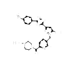 Cc1cc(-c2nc(-c3ccc(OC(F)(F)F)cc3)no2)nn1Cc1ccc(C(=O)N2CCN(C)CC2)nc1